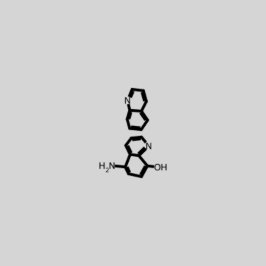 Nc1ccc(O)c2ncccc12.c1ccc2ncccc2c1